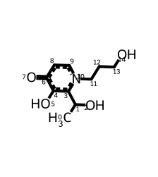 CC(O)c1c(O)c(=O)ccn1CCCO